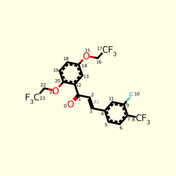 O=C(/C=C/c1ccc(C(F)(F)F)c(F)c1)c1cc(OCC(F)(F)F)ccc1OCC(F)(F)F